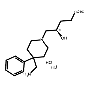 CCCCCCCCCCCC[C@@H](O)CN1CCC(CN)(c2ccccc2)CC1.Cl.Cl